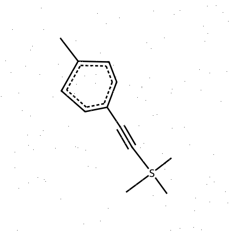 Cc1ccc(C#CS(C)(C)C)cc1